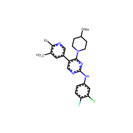 CCc1ncc(-c2cnc(Nc3ccc(F)c(Cl)c3)nc2N2CCC(OC)CC2)cc1C(=O)O